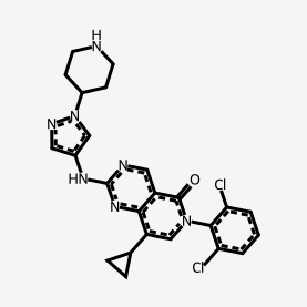 O=c1c2cnc(Nc3cnn(C4CCNCC4)c3)nc2c(C2CC2)cn1-c1c(Cl)cccc1Cl